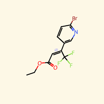 CCOC(=O)/C=C(/c1ccc(Br)nc1)C(F)(F)F